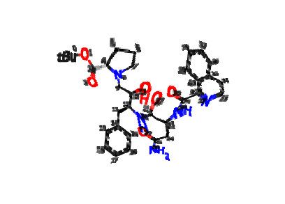 CC(C)(C)OC(=O)[C@@H]1CCCN1C[C@@H](O)[C@H](Cc1ccccc1)NC(=O)[C@H](CC(N)=O)NC(=O)c1nccc2ccccc12